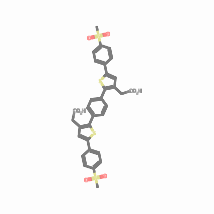 CS(=O)(=O)c1ccc(-c2cc(CC(=O)O)c(-c3ccc(-c4sc(-c5ccc(S(C)(=O)=O)cc5)cc4CC(=O)O)cc3)s2)cc1